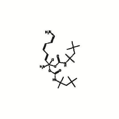 CC(C)(C)CC(C)(C)NC(=O)OP(N)(Cl)(/C=C/C=C\C=C/N)OC(=O)NC(C)(C)CC(C)(C)C